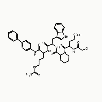 NC(=O)NCCCC(NC(=O)C(Cc1c[nH]c2ccccc12)NC(=O)C1CCCCN1C(=O)C(CCC(=O)O)NC(=O)CCl)C(=O)Nc1ccc(-c2ccccc2)cc1